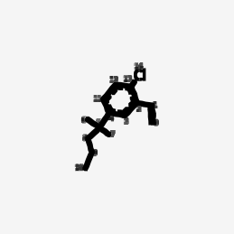 C=Cc1cc(C(C)(C)CCC)ccc1Cl